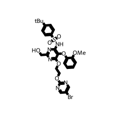 COc1ccccc1Oc1c(NS(=O)(=O)c2ccc(C(C)(C)C)cc2)nc(CO)nc1OCCOc1ncc(Br)cn1